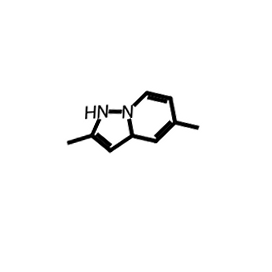 CC1=CC2C=C(C)NN2C=C1